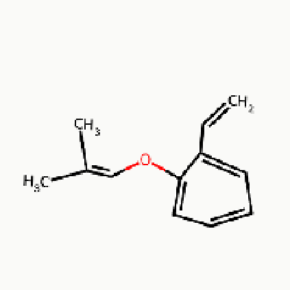 C=Cc1ccccc1OC=C(C)C